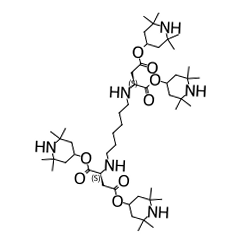 CC1(C)CC(OC(=O)C[C@H](NCCCCCCN[C@@H](CC(=O)OC2CC(C)(C)NC(C)(C)C2)C(=O)OC2CC(C)(C)NC(C)(C)C2)C(=O)OC2CC(C)(C)NC(C)(C)C2)CC(C)(C)N1